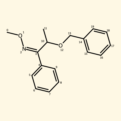 CON=C(c1ccccc1)C(C)OCc1ccccc1